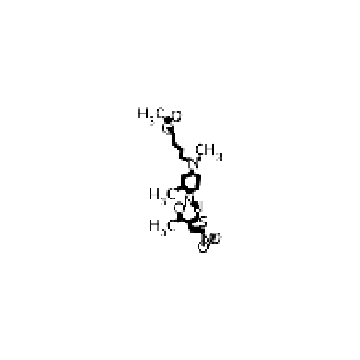 CCN(CCCCOC(C)=O)c1ccc(/N=N/c2sc([N+](=O)[O-])cc2C(C)=O)c(C)c1